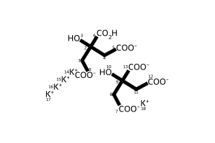 O=C([O-])CC(O)(CC(=O)[O-])C(=O)O.O=C([O-])CC(O)(CC(=O)[O-])C(=O)[O-].[K+].[K+].[K+].[K+].[K+]